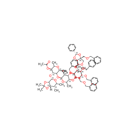 CC(=O)O[C@H]1C(C)O[C@@H](C)C(O[C@@H]2OC(C)[C@H](O[C@@H]3OC[C@@H](C)[C@@H](O[C@@H]4OC[C@@]5(COCc6ccccc6)O[C@@H](c6ccccc6)OC45)C3OCc3ccccc3)C(O[C@@H]3OC(COCc4ccccc4)[C@@H](OCc4ccccc4)C(OCc4ccccc4)[C@H]3C)[C@@H]2C)[C@@H]1O[C@@H]1OC(C)[C@H](C)[C@@H]2OC(C)(C)OC12